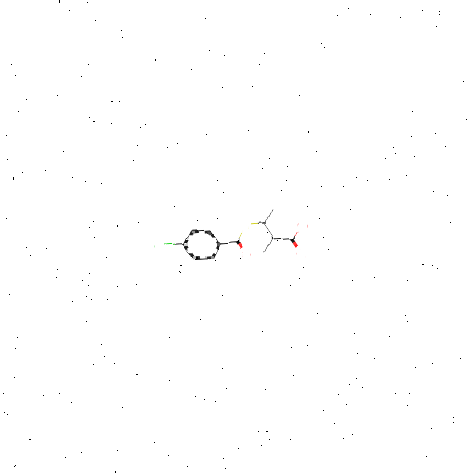 CC(SC(=O)c1ccc(Cl)cc1)C(C)C(=O)O